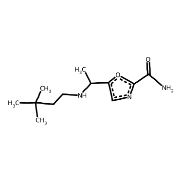 CC(NCCC(C)(C)C)c1cnc(C(N)=O)o1